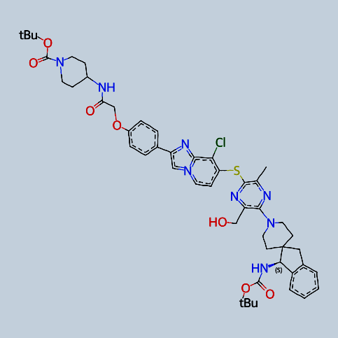 Cc1nc(N2CCC3(CC2)Cc2ccccc2[C@H]3NC(=O)OC(C)(C)C)c(CO)nc1Sc1ccn2cc(-c3ccc(OCC(=O)NC4CCN(C(=O)OC(C)(C)C)CC4)cc3)nc2c1Cl